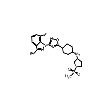 CC(C)c1nn(-c2noc(C3CCC(NC4CCN(S(C)(=O)=O)C4)CC3)n2)c2c(F)cccc12